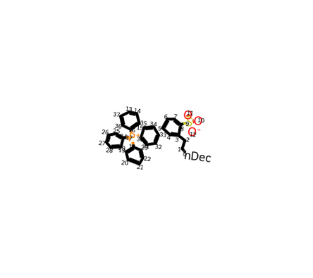 CCCCCCCCCCCCc1ccccc1S(=O)(=O)[O-].c1ccc([P+](c2ccccc2)(c2ccccc2)c2ccccc2)cc1